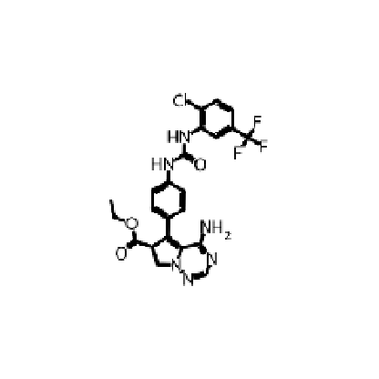 CCOC(=O)C1CN2N=CN=C(N)C2=C1c1ccc(NC(=O)Nc2cc(C(F)(F)F)ccc2Cl)cc1